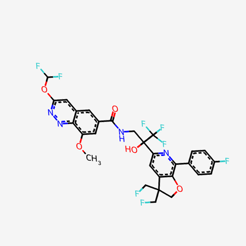 COc1cc(C(=O)NCC(O)(c2cc3c(c(-c4ccc(F)cc4)n2)OCC3(CF)CF)C(F)(F)F)cc2cc(OC(F)F)nnc12